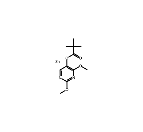 COc1ncc(OC(=O)C(C)(C)C)c(OC)n1.[Zn]